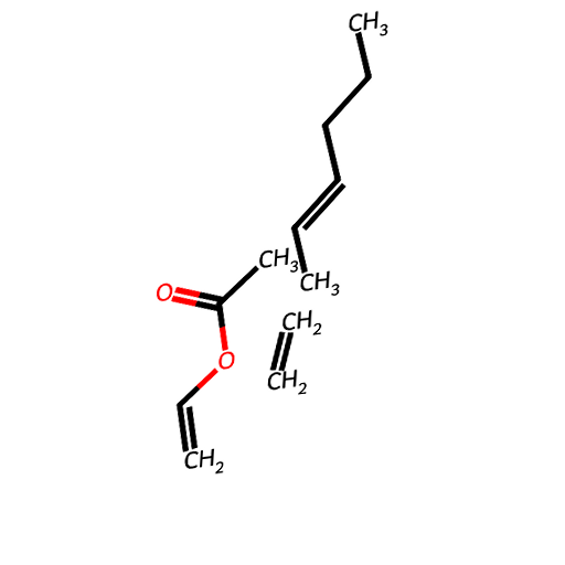 C=C.C=COC(C)=O.CC=CCCC